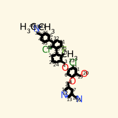 Cc1c(COc2cc(OCc3cncc(C#N)c3)c(C=O)cc2Cl)cccc1-c1c(F)ccc(-c2ccc(CN(C)C)cc2)c1Cl